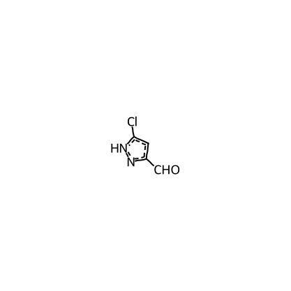 O=Cc1cc(Cl)[nH]n1